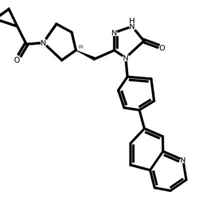 O=C(C1CC1)N1CC[C@@H](Cc2n[nH]c(=O)n2-c2ccc(-c3ccc4cccnc4c3)cc2)C1